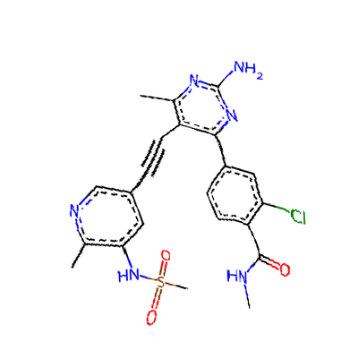 CNC(=O)c1ccc(-c2nc(N)nc(C)c2C#Cc2cnc(C)c(NS(C)(=O)=O)c2)cc1Cl